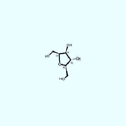 OC[C@@H]1O[C@H](CO)[C@@H](O)[C@@H]1O